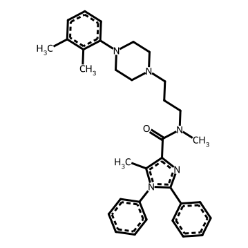 Cc1cccc(N2CCN(CCCN(C)C(=O)c3nc(-c4ccccc4)n(-c4ccccc4)c3C)CC2)c1C